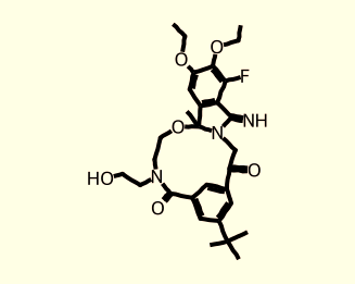 CCOc1cc2c(c(F)c1OCC)C(=N)N1CC(=O)c3cc(cc(C(C)(C)C)c3)C(=O)N(CCO)CCOC21C